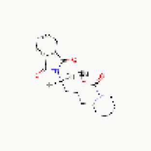 [2H]C([2H])(CCCC1CCCCN1C(=O)OC(C)(C)C)N1C(=O)c2ccccc2C1=O